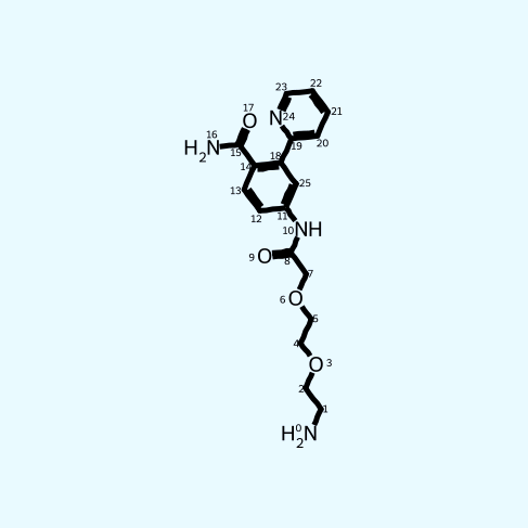 NCCOCCOCC(=O)Nc1ccc(C(N)=O)c(-c2ccccn2)c1